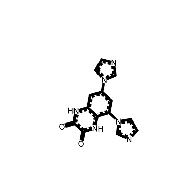 O=c1[nH]c2cc(-n3ccnc3)cc(-n3ccnc3)c2[nH]c1=O